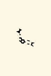 C[C@@]1(N2CCN(c3cc4cc(NC(=O)[C@H]5CC56CC6)ncc4cc3Cl)CC2)COC[C@@H]1O